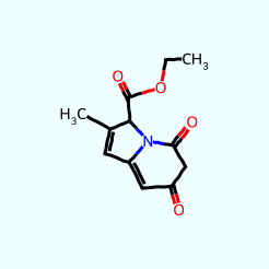 CCOC(=O)C1C(C)=CC2=CC(=O)CC(=O)N21